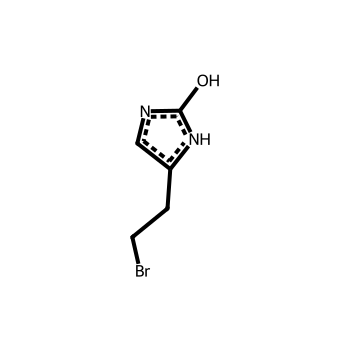 Oc1ncc(CCBr)[nH]1